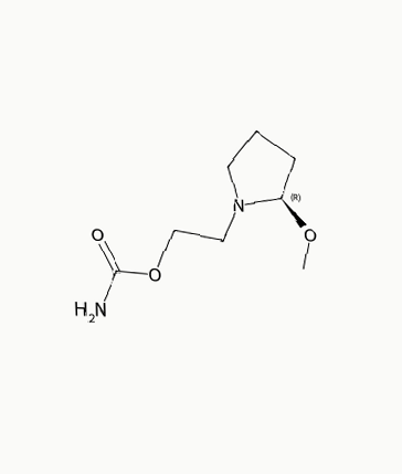 CO[C@@H]1CCCN1CCOC(N)=O